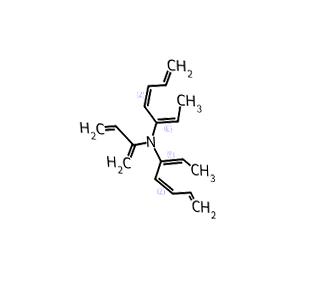 C=C/C=C\C(=C/C)N(C(=C)C=C)C(/C=C\C=C)=C/C